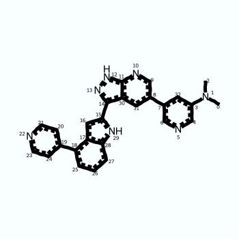 CN(C)c1cncc(-c2cnc3[nH]nc(-c4cc5c(-c6ccncc6)cccc5[nH]4)c3c2)c1